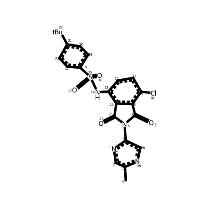 Cc1cnc(N2C(=O)c3c(Cl)ccc(NS(=O)(=O)c4ccc(C(C)(C)C)cc4)c3C2=O)cn1